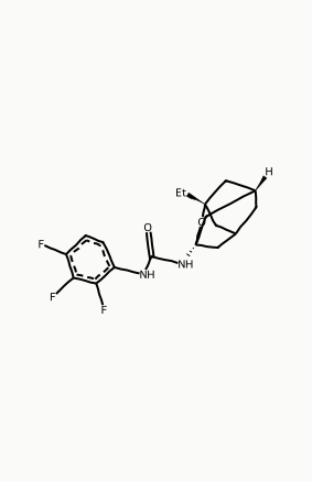 CC[C@]12CC3C[C@@H](C1)C[C@@](NC(=O)Nc1ccc(F)c(F)c1F)(C3)O2